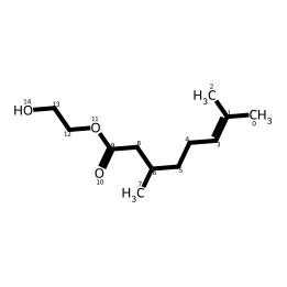 CC(C)=CCCC(C)CC(=O)OCCO